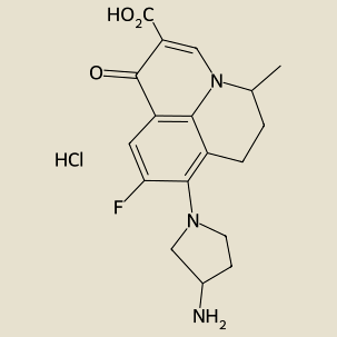 CC1CCc2c(N3CCC(N)C3)c(F)cc3c(=O)c(C(=O)O)cn1c23.Cl